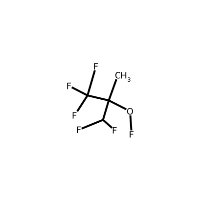 CC(OF)(C(F)F)C(F)(F)F